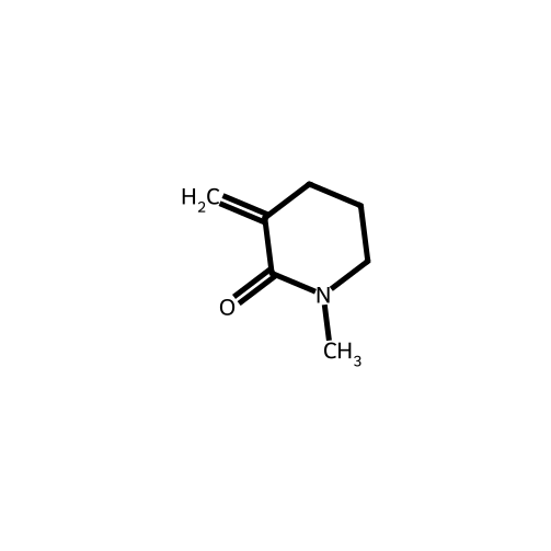 C=C1CCCN(C)C1=O